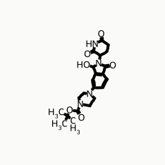 CC(C)(C)OC(=O)N1CCN(c2ccc3c(c2)C(O)N(C2CCC(=O)NC2=O)C3=O)CC1